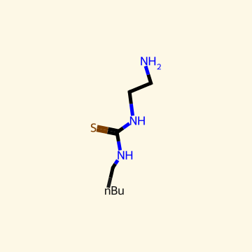 CCCCCNC(=S)NCCN